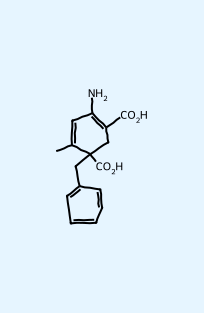 CC1=CC(N)=C(C(=O)O)CC1(Cc1ccccc1)C(=O)O